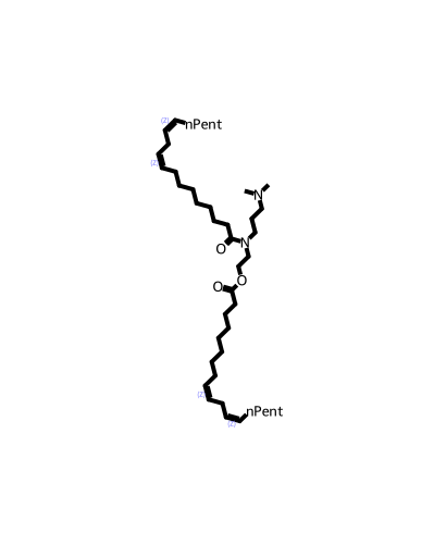 CCCCC/C=C\C/C=C\CCCCCCCC(=O)OCCN(CCCN(C)C)C(=O)CCCCCCC/C=C\C/C=C\CCCCC